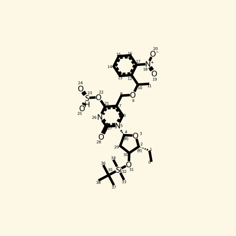 CC[C@H]1O[C@@H](n2cc(COC(C)c3ccccc3[N+](=O)[O-])c(O[SH](=O)=O)nc2=O)CC1O[Si](C)(C)C(C)(C)C